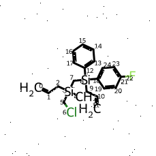 C=CC[Si](C)(CCl)C[Si](CC=C)(c1ccccc1)c1ccc(F)cc1